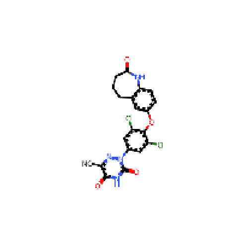 N#Cc1nn(-c2cc(Cl)c(Oc3ccc4c(c3)CCCC(=O)N4)c(Cl)c2)c(=O)[nH]c1=O